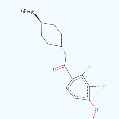 CCCCCCCCOc1ccc(C(=O)C[C@H]2CC[C@H](CCCCC)CC2)c(F)c1F